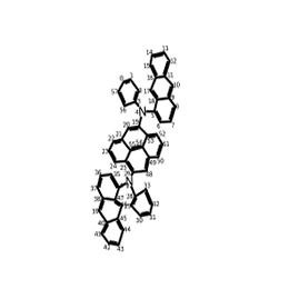 c1ccc(N(c2cccc3cc4ccccc4cc23)c2cc3cccc4c(N(c5ccccc5)c5cccc6cc7ccccc7cc56)cc5cccc2c5c34)cc1